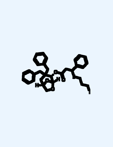 O=C(CC(SCCCI)c1ccccc1)O[C@@H]1[C@@H]2OC[C@H](CC1(Cc1ccccc1)Cc1ccccc1)O2